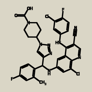 Cc1cc(F)ccc1C(Nc1cc(Cl)c2ncc(C#N)c(Nc3ccc(F)c(Cl)c3)c2c1)c1cn(C2CCN(C(=O)O)CC2)nn1